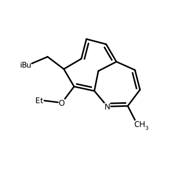 CCO/C1=C2/C/C(=C\C=C\C1CC(C)CC)C=CC(C)=N2